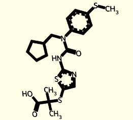 CSc1ccc(N(CC2CCCC2)C(=O)Nc2ncc(SC(C)(C)C(=O)O)s2)cc1